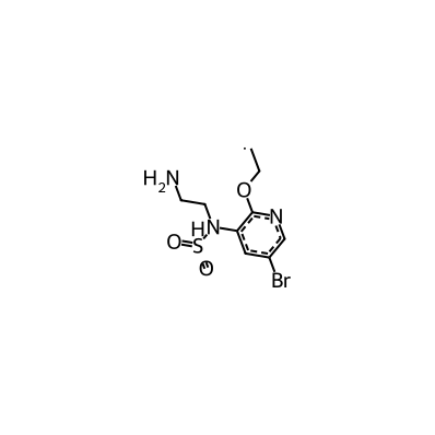 [CH2]COc1ncc(Br)cc1N(CCN)[SH](=O)=O